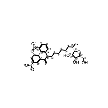 C=C(c1cccc([N+](=O)[O-])c1)C(CCCCCCC(C)[C@@H]1O[C@H](CO)[C@@H](O)[C@@H]1O)c1cccc([N+](=O)[O-])c1